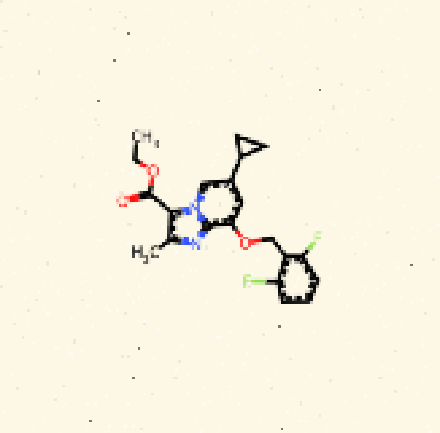 CCOC(=O)c1c(C)nc2c(OCc3c(F)cccc3F)cc(C3CC3)cn12